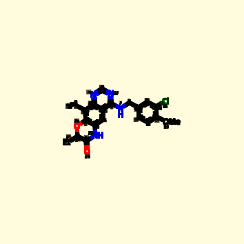 CCCc1c2c(cc3c(NCc4ccc(OC)c(Cl)c4)ncnc13)NC(=O)C(CC)O2